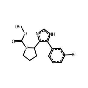 CC(C)(C)OC(=O)N1CCCC1c1nc[nH]c1-c1cccc(Br)c1